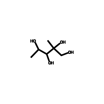 CC(O)C(O)C(C)(O)CO